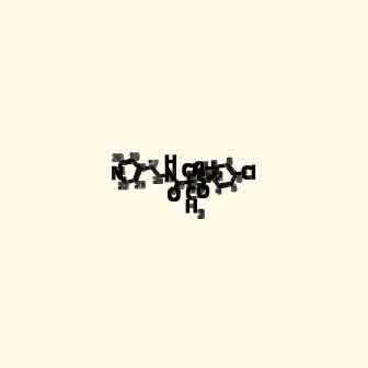 C=S(=O)(c1ccc(Cl)cc1)C(C)(C)C(=O)NCCc1ccncc1